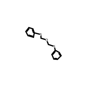 c1ccc(SCOCSc2ccccc2)cc1